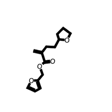 C=C(CCC1CCCO1)C(=O)OCc1ccco1